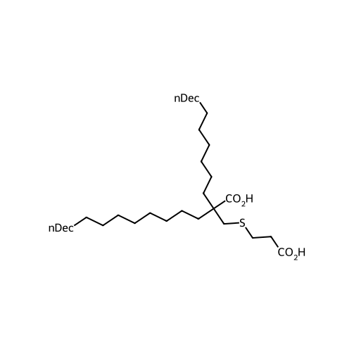 CCCCCCCCCCCCCCCCCCC(CCCCCCCCCCCCCCCC)(CSCCC(=O)O)C(=O)O